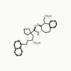 O=C(O)CN1C(=O)[C@@H](NC(=O)C2(C[C@@H](CCc3cccc4ccccc34)C(=O)O)CCCC2)CCc2ccccc21